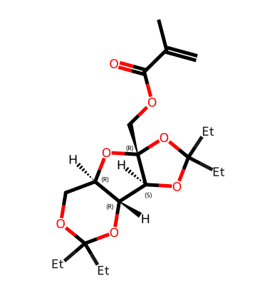 C=C(C)C(=O)OC[C@]12O[C@@H]3COC(CC)(CC)O[C@H]3[C@@H]1OC(CC)(CC)O2